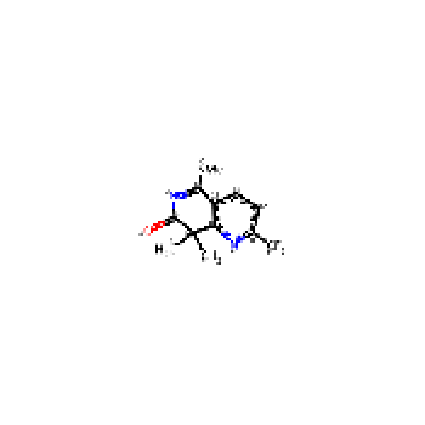 CNC1=NC(=O)C(C)(C)c2nc(C(F)(F)F)ccc21